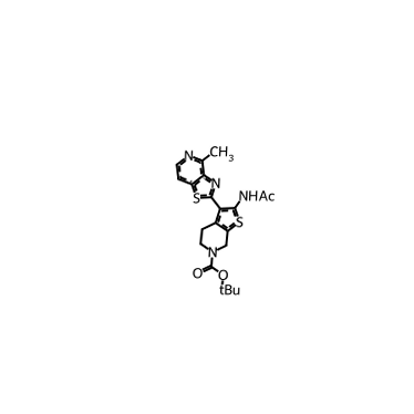 CC(=O)Nc1sc2c(c1-c1nc3c(C)nccc3s1)CCN(C(=O)OC(C)(C)C)C2